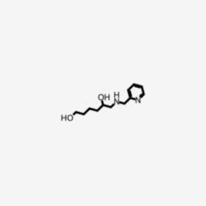 OCCCCC(O)CNCc1ccccn1